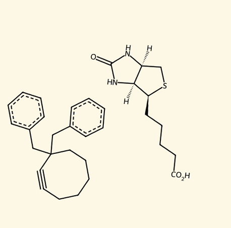 C1#CC(Cc2ccccc2)(Cc2ccccc2)CCCCC1.O=C(O)CCCC[C@@H]1SC[C@@H]2NC(=O)N[C@@H]21